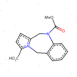 COC(=O)N1Cc2ccc(C(=O)O)n2Cc2ccccc21